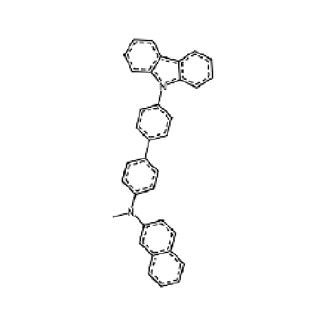 CN(c1ccc(-c2ccc(-n3c4ccccc4c4ccccc43)cc2)cc1)c1ccc2ccccc2c1